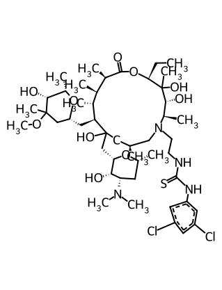 CC[C@@H]1OC(=O)[C@H](C)[C@H](C)[C@@H](C)[C@H](C[C@@H]2CC(C)(OC)[C@H](O)[C@H](C)O2)C(O)(C[C@@H]2O[C@H](C)C[C@H](N(C)C)[C@@H]2O)C[C@H](C)CN(CCNC(=S)Nc2cc(Cl)cc(Cl)c2)[C@H](C)[C@@H](O)C1(C)O